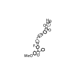 COc1ccc2c(c1)OCC(c1ccccc1)[C@@H]2c1ccc(N2CCC(CN3CCN(c4ccc5c(c4)CN(C4CCC(=O)NC4=O)C5=O)CC3)CC2)c(F)c1